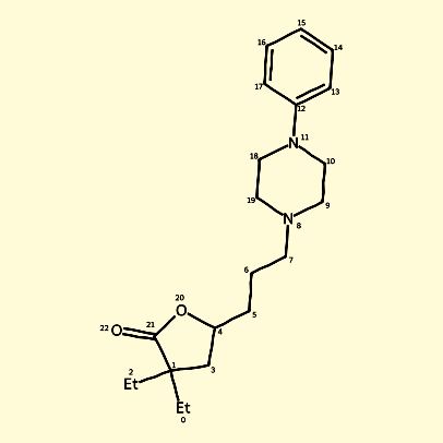 CCC1(CC)CC(CCCN2CCN(c3ccccc3)CC2)OC1=O